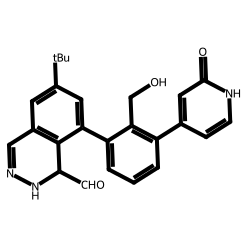 CC(C)(C)c1cc2c(c(-c3cccc(-c4cc[nH]c(=O)c4)c3CO)c1)C(C=O)NN=C2